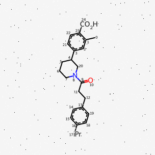 Cc1cc(C2CCCN(C(=O)CCc3ccc(C(C)C)cc3)C2)ccc1C(=O)O